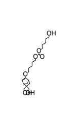 O=C(OCCCCCO)OCCCCCOC1=CC2CC1CC2(CO)CO